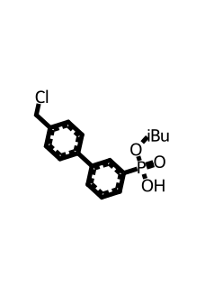 CCC(C)OP(=O)(O)c1cccc(-c2ccc(CCl)cc2)c1